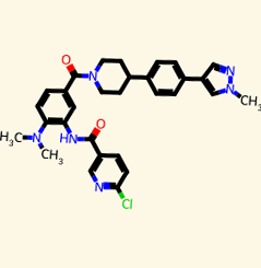 CN(C)c1ccc(C(=O)N2CCC(c3ccc(-c4cnn(C)c4)cc3)CC2)cc1NC(=O)c1ccc(Cl)nc1